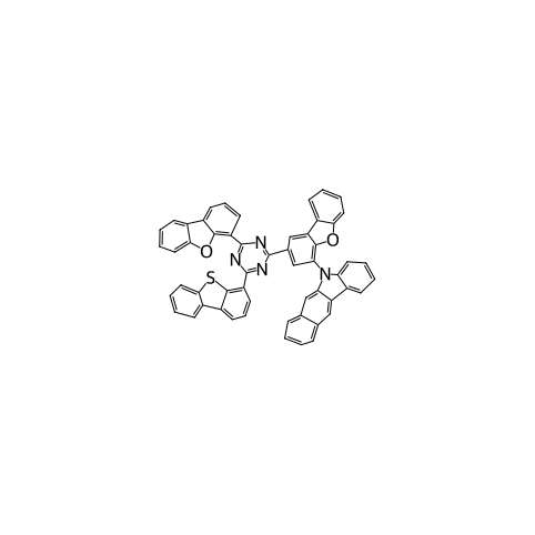 c1ccc2cc3c(cc2c1)c1ccccc1n3-c1cc(-c2nc(-c3cccc4c3oc3ccccc34)nc(-c3cccc4c3sc3ccccc34)n2)cc2c1oc1ccccc12